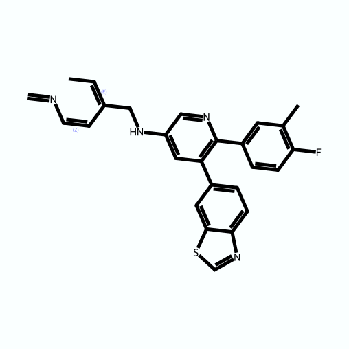 C=N/C=C\C(=C/C)CNc1cnc(-c2ccc(F)c(C)c2)c(-c2ccc3ncsc3c2)c1